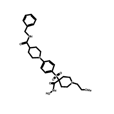 COCCN1CCC(C(=O)NO)(S(=O)(=O)c2ccc(N3CCC(C(=O)NCc4ccccc4)CC3)cc2)CC1